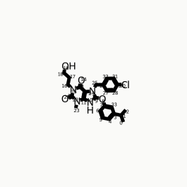 CC(C)c1cccc(OC2Nc3c(c(=O)n(CCCO)c(=O)n3C)N2Cc2ccc(Cl)cc2)c1